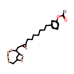 CCC(=O)Oc1cccc(CCCCCCCC2SC2CC2SSSSCC3CC2SS3)c1